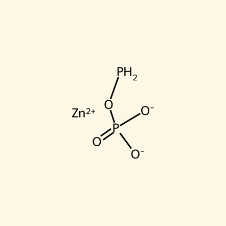 O=P([O-])([O-])OP.[Zn+2]